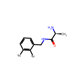 [2H]c1cccc(CNC(=O)[C@H](C)N)c1[2H]